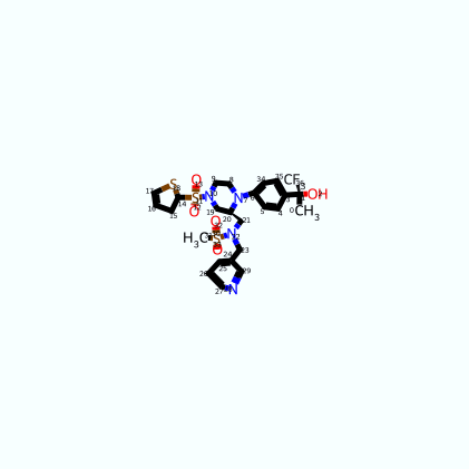 C[C@@](O)(c1ccc(N2CCN(S(=O)(=O)C3CC=CS3)C[C@@H]2CN(Cc2cccnc2)S(C)(=O)=O)cc1)C(F)(F)F